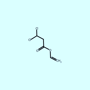 C=COC(=O)CC(Cl)Cl